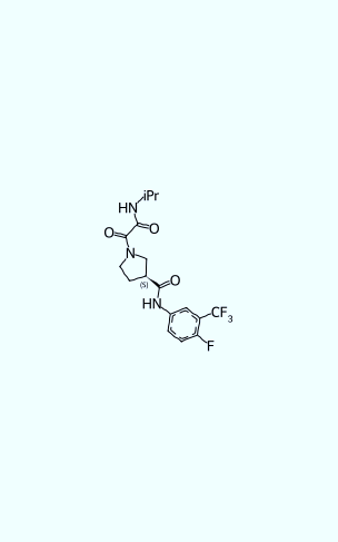 CC(C)NC(=O)C(=O)N1CC[C@H](C(=O)Nc2ccc(F)c(C(F)(F)F)c2)C1